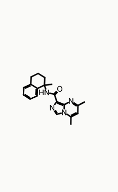 Cc1cc(C)n2cnc(C(=O)NC3(C)CCCc4ccccc43)c2n1